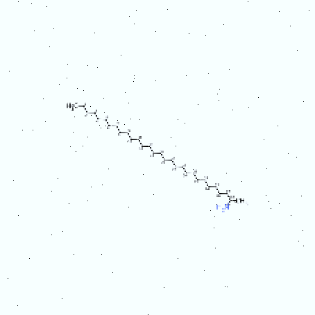 CCCCCCCCCCCCCCCCCCCCCCCCCCCCC(C)N